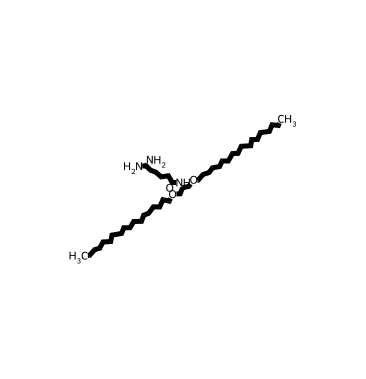 CCCCCCCCCCCCCCCCCCOCC(COCCCCCCCCCCCCCCCCCC)NC(=O)CCCCC(N)N